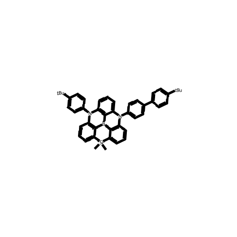 CC(C)(C)c1ccc(-c2ccc(N3c4cccc5c4B4c6c3cccc6[Si](C)(C)c3cccc(c34)N5c3ccc(C(C)(C)C)cc3)cc2)cc1